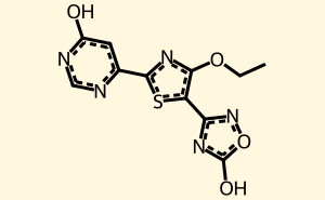 CCOc1nc(-c2cc(O)ncn2)sc1-c1noc(O)n1